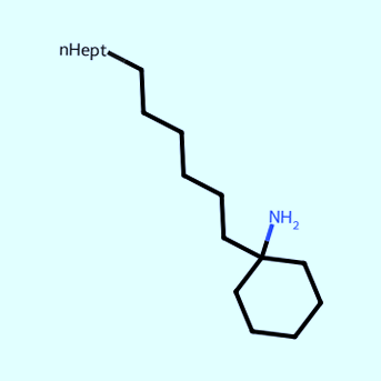 CCCCCCCCCCCCCC1(N)CCCCC1